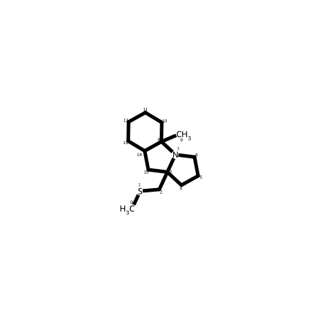 CSCC12CCCN1C1(C)CCCCC1C2